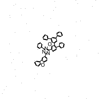 c1ccc(-c2cc(-c3ccccc3)c3oc4c(-c5nc(-c6ccccc6)nc(-c6ccc7oc8ccccc8c7c6)n5)ccc(-c5ccccc5)c4c3c2)cc1